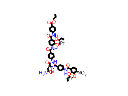 C=CCOC(=O)c1ccc(NC(=O)c2ccc(NC(=O)c3ccc(NC(=O)[C@H](CC(N)=O)NC(=O)c4ccc(NC(=O)c5ccc([N+](=O)[O-])c(OC(C)C)c5OCC=C)cc4)cc3)c(OC(C)C)c2OCC=C)cc1